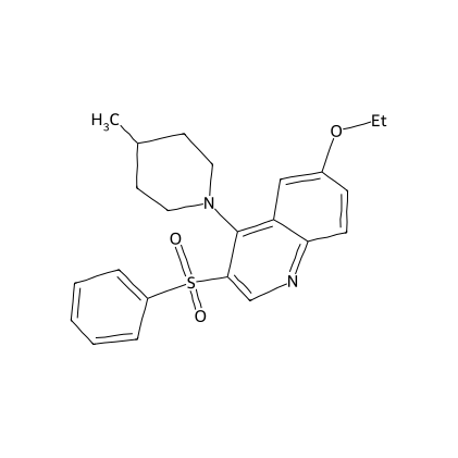 CCOc1ccc2ncc(S(=O)(=O)c3ccccc3)c(N3CCC(C)CC3)c2c1